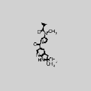 CN(C(=O)C1CC1)[C@H]1CCN(C(=O)c2cnc3c(c2)CC(C)(C)N3)C1